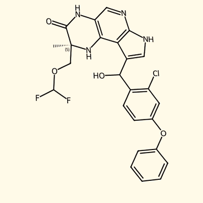 C[C@@]1(COC(F)F)Nc2c(cnc3[nH]cc(C(O)c4ccc(Oc5ccccc5)cc4Cl)c23)NC1=O